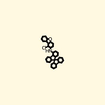 Clc1c(Nc2cccc3c2-c2ccccc2C32c3ccccc3-c3ccccc32)ccc2oc3ccccc3c12